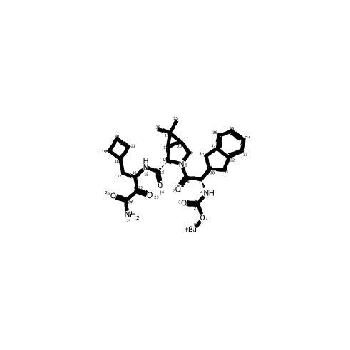 CC(C)(C)OC(=O)N[C@H](C(=O)N1CC2C([C@H]1C(=O)NC(CC1CCC1)C(=O)C(N)=O)C2(C)C)C1Cc2ccccc2C1